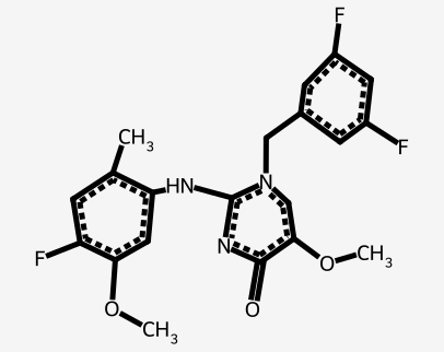 COc1cc(Nc2nc(=O)c(OC)cn2Cc2cc(F)cc(F)c2)c(C)cc1F